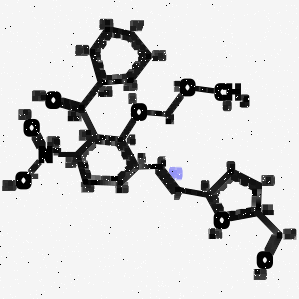 COCOc1c(/C=C/c2ccc(C=O)o2)ccc([N+](=O)[O-])c1C(=O)c1ccccc1